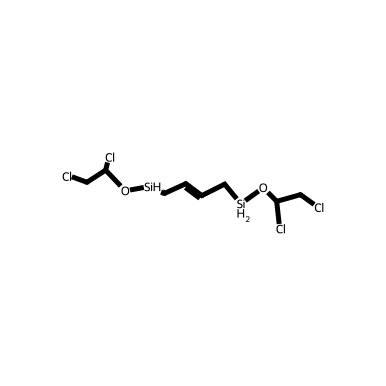 ClCC(Cl)O[SiH2]CC=CC[SiH2]OC(Cl)CCl